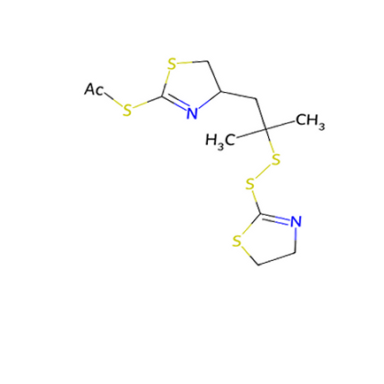 CC(=O)SC1=NC(CC(C)(C)SSC2=NCCS2)CS1